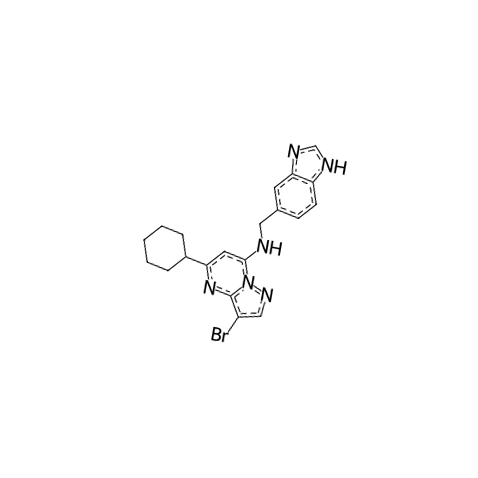 Brc1cnn2c(NCc3ccc4[nH]cnc4c3)cc(C3CCCCC3)nc12